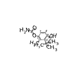 Cc1c(OC(N)=O)ccc(O)c1C(C)(C)C